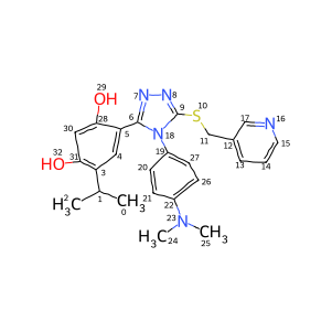 CC(C)c1cc(-c2nnc(SCc3cccnc3)n2-c2ccc(N(C)C)cc2)c(O)cc1O